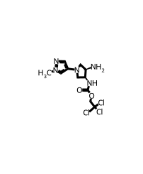 Cn1cc(N2C[C@@H](N)[C@@H](NC(=O)OCC(Cl)(Cl)Cl)C2)cn1